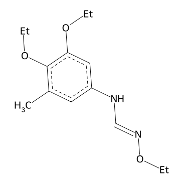 CCON=CNc1cc(C)c(OCC)c(OCC)c1